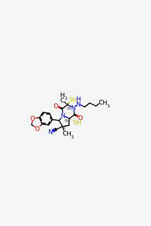 CCCCNN1C(=O)[C@@]2(S)C[C@](C)(C#N)C(c3ccc4c(c3)OCO4)N2C(=O)[C@]1(C)S